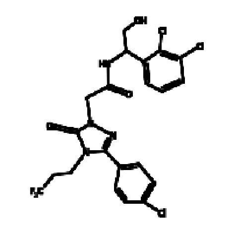 O=C(Cn1nc(-c2ccc(Cl)cc2)n(CCC(F)(F)F)c1=O)NC(CO)c1cccc(Cl)c1Cl